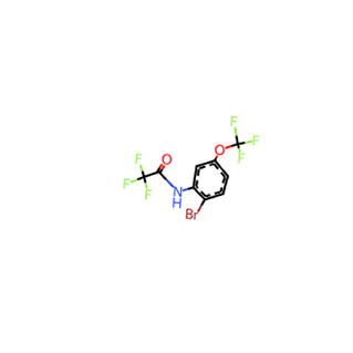 O=C(Nc1cc(OC(F)(F)F)ccc1Br)C(F)(F)F